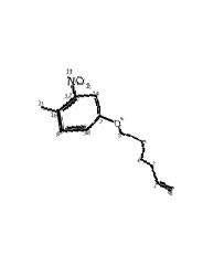 C=CCCCCOc1ccc(C)c([N+](=O)[O-])c1